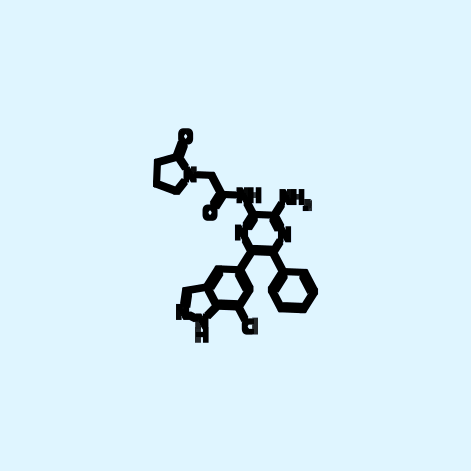 Nc1nc(-c2ccccc2)c(-c2cc(Cl)c3[nH]ncc3c2)nc1NC(=O)CN1CCCC1=O